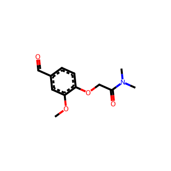 COc1cc(C=O)ccc1OCC(=O)N(C)C